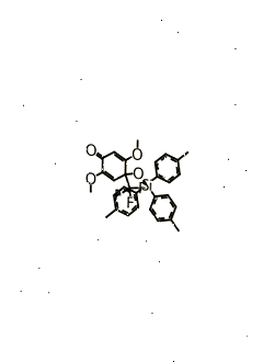 COC1=CC(O[Si](c2ccc(C)cc2)(c2ccc(C)cc2)c2ccc(C)cc2)(C(F)(F)F)C(OC)=CC1=O